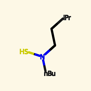 CCCCN(S)CCC(C)C